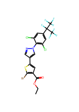 CCOC(=O)c1cc(-c2cnn(-c3c(Cl)cc(C(F)(C(F)(F)F)C(F)(F)F)cc3Cl)c2)sc1Br